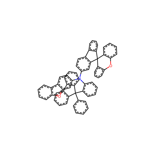 c1ccc(C2(c3ccccc3N(c3ccc4c(c3)C3(c5ccccc5Oc5ccccc53)c3ccccc3-4)c3ccc4c(c3)oc3ccccc34)c3ccccc3-c3ccccc32)cc1